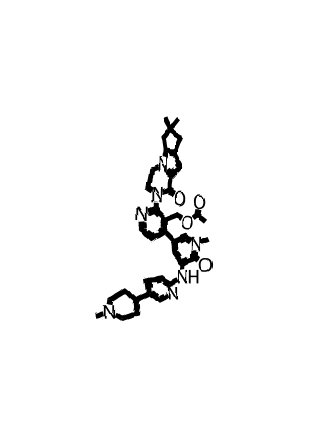 CC(=O)OCc1c(-c2cc(Nc3ccc(C4CCN(C)CC4)cn3)c(=O)n(C)c2)ccnc1N1CCn2c(cc3c2CC(C)(C)C3)C1=O